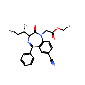 CCOC(=O)CN1C(=O)C([C@@H](C)CC)N=C(c2ccccc2)c2cc(C#N)ccc21